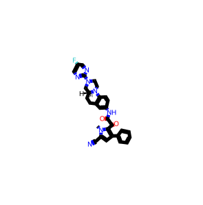 Cn1c(C#N)cc(-c2ccccc2)c1C(=O)C(=O)Nc1ccc2c(c1)CC[C@@H]1CN(c3ncc(F)cn3)CCN21